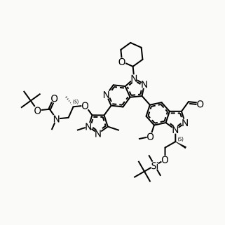 COc1cc(-c2nn(C3CCCCO3)c3cnc(-c4c(C)nn(C)c4O[C@@H](C)CN(C)C(=O)OC(C)(C)C)cc23)cc2c(C=O)nn([C@@H](C)CO[Si](C)(C)C(C)(C)C)c12